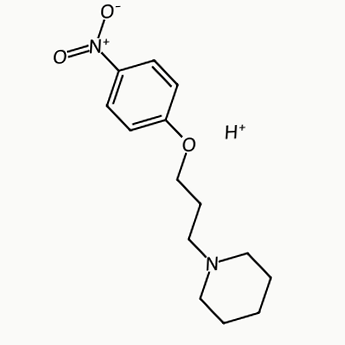 O=[N+]([O-])c1ccc(OCCCN2CCCCC2)cc1.[H+]